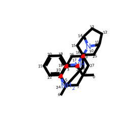 CC12CC3CC(C)(C1)CC(N1C4CCC1CC(Nc1ccccc1N)C4)(C3)C2